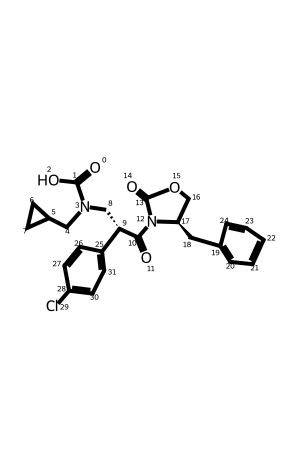 O=C(O)N(CC1CC1)C[C@H](C(=O)N1C(=O)OC[C@H]1Cc1ccccc1)c1ccc(Cl)cc1